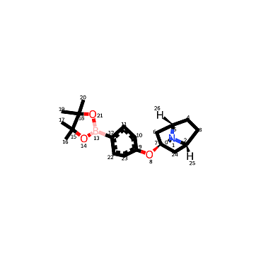 CN1[C@@H]2CC[C@H]1C[C@H](Oc1ccc(B3OC(C)(C)C(C)(C)O3)cc1)C2